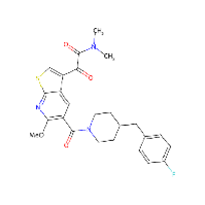 COc1nc2scc(C(=O)C(=O)N(C)C)c2cc1C(=O)N1CCC(Cc2ccc(F)cc2)CC1